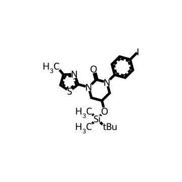 Cc1csc(N2CC(O[Si](C)(C)C(C)(C)C)CN(c3ccc(I)cc3)C2=O)n1